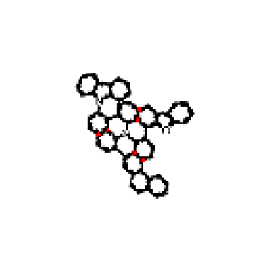 c1ccc(N(c2ccccc2-c2ccccc2-n2c3ccccc3c3ccccc32)c2ccccc2-c2cccc3c2oc2ccccc23)c(-c2ccc3c(ccc4ccccc43)c2)c1